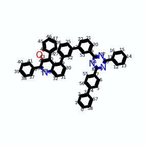 c1ccc(-c2ccc(-c3nc(-c4ccccc4)nc(-c4cccc(-c5cccc(-c6cccc7nc(-c8ccccc8)c8oc9ccccc9c8c67)c5)c4)n3)cc2)cc1